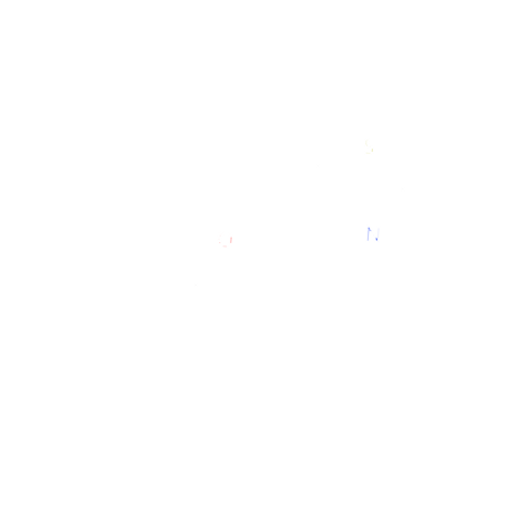 c1ccc2oc(-c3cscn3)cc2c1